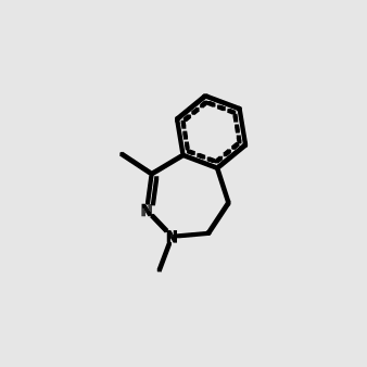 CC1=NN(C)CCc2ccccc21